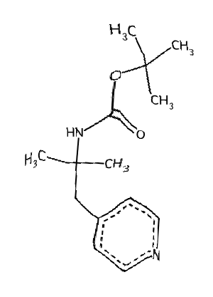 CC(C)(Cc1ccncc1)NC(=O)OC(C)(C)C